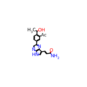 CC(=O)c1cc(-c2cnc3[nH]cc(C=CC(N)=O)c3n2)ccc1C(C)O